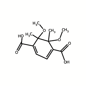 COC1(C)C(C(=O)O)=CC=C(C(=O)O)C1(C)OC